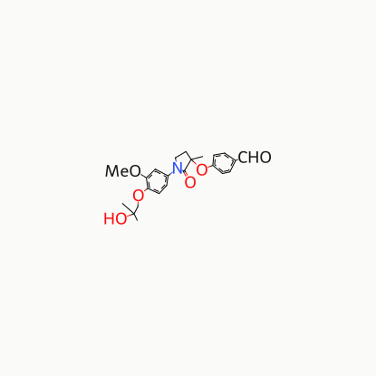 COc1cc(N2CCC(C)(Oc3ccc(C=O)cc3)C2=O)ccc1OCC(C)(C)O